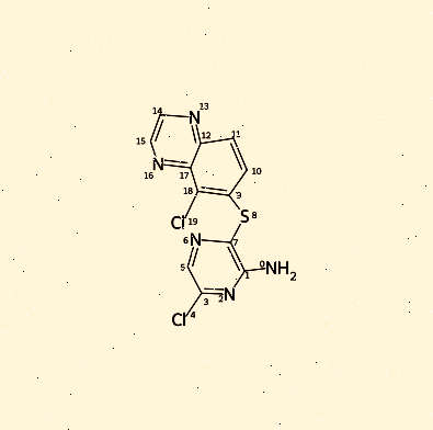 Nc1nc(Cl)cnc1Sc1ccc2nccnc2c1Cl